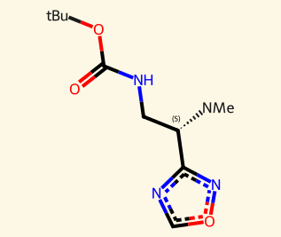 CN[C@@H](CNC(=O)OC(C)(C)C)c1ncon1